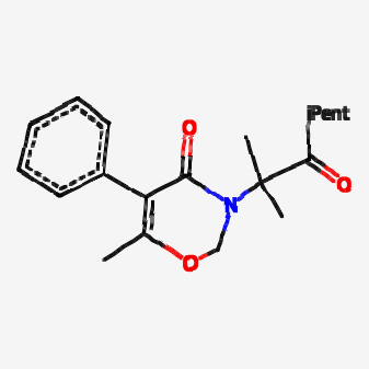 CCCC(C)C(=O)C(C)(C)N1COC(C)=C(c2ccccc2)C1=O